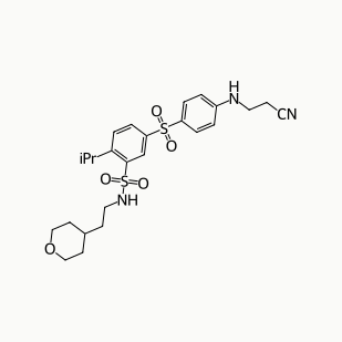 CC(C)c1ccc(S(=O)(=O)c2ccc(NCCC#N)cc2)cc1S(=O)(=O)NCCC1CCOCC1